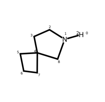 [2H]N1CCC2(CCC2)C1